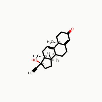 C#C[C@@]1(O)CC[C@H]2[C@@H]3CCC4=CC(=O)CC[C@]4(C)C3=CC[C@@]21C